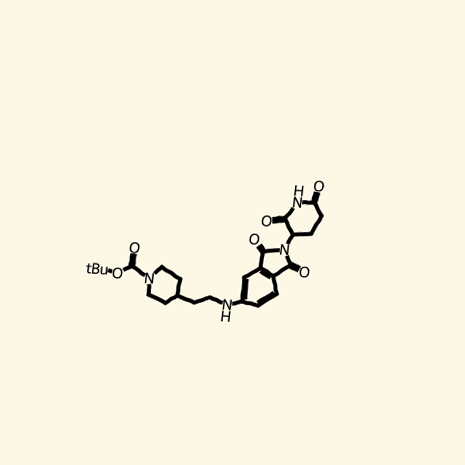 CC(C)(C)OC(=O)N1CCC(CCNc2ccc3c(c2)C(=O)N(C2CCC(=O)NC2=O)C3=O)CC1